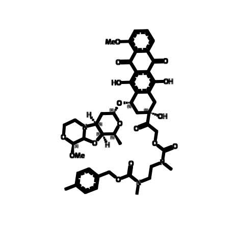 COc1cccc2c1C(=O)c1c(O)c3c(c(O)c1C2=O)C[C@@](O)(C(=O)COC(=O)N(C)CCN(C)C(=O)OCc1ccc(C)cc1)C[C@@H]3O[C@H]1C[C@H]2[C@H](OC3[C@@H](OC)OCCN32)[C@H](C)O1